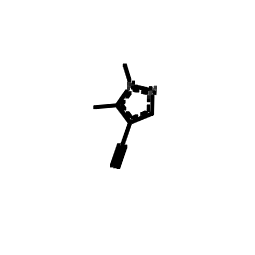 C#Cc1cnn(C)c1C